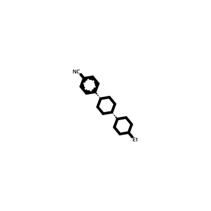 CCC1CCC([C@H]2CC[C@@H](c3ccc(C#N)cc3)CC2)CC1